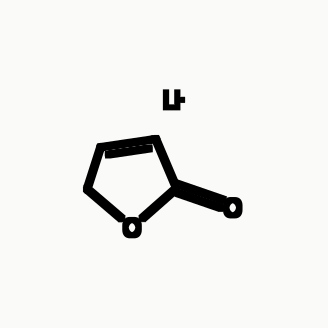 O=C1C=CCO1.[Li]